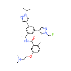 Cc1ccc(OCCN(C)C)cc1C(=O)N[C@H](C)c1cc(-c2cnn(CF)c2)cc(-c2cnn(C(C)C)c2)c1